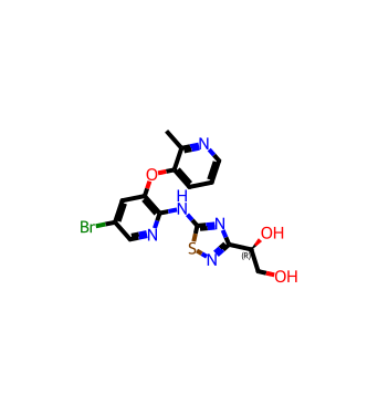 Cc1ncccc1Oc1cc(Br)cnc1Nc1nc([C@@H](O)CO)ns1